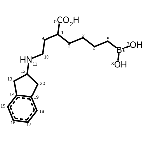 O=C(O)C(CCCCB(O)O)CCNC1Cc2ccccc2C1